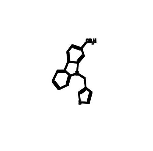 O=C(O)c1ccc2c3ccccc3n(Cc3ccsc3)c2c1